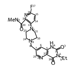 CCn1c(=O)[nH]c2cc(CN3CCN(c4ccc(F)nc4C(=O)NC)CC3)cnc2c1=O